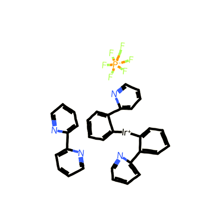 F[P-](F)(F)(F)(F)F.c1ccc(-c2cccc[c]2[Ir+][c]2ccccc2-c2ccccn2)nc1.c1ccc(-c2ccccn2)nc1